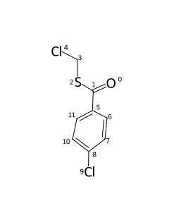 O=C(SCCl)c1ccc(Cl)cc1